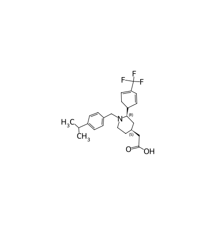 CC(C)c1ccc(CN2CC[C@H](CC(=O)O)C[C@@H]2C2C=CC(C(F)(F)F)=CC2)cc1